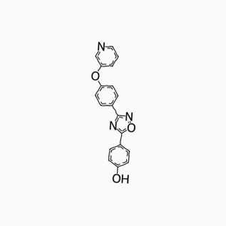 Oc1ccc(-c2nc(-c3ccc(Oc4cccnc4)cc3)no2)cc1